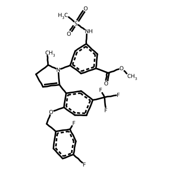 COC(=O)c1cc(NS(C)(=O)=O)cc(N2C(c3cc(C(F)(F)F)ccc3OCc3ccc(F)cc3F)=CCC2C)c1